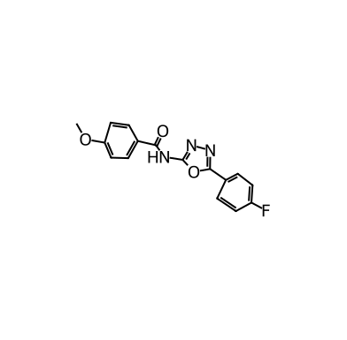 COc1ccc(C(=O)Nc2nnc(-c3ccc(F)cc3)o2)cc1